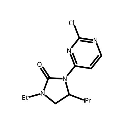 CCN1CC(C(C)C)N(c2ccnc(Cl)n2)C1=O